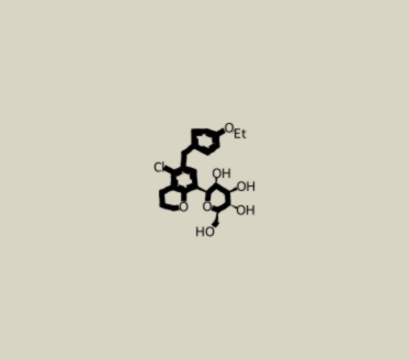 CCOc1ccc(Cc2cc([C@@H]3O[C@H](CO)[C@@H](O)[C@H](O)[C@H]3O)c3c(c2Cl)CCCO3)cc1